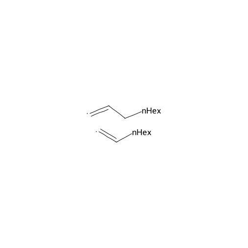 [CH]=CCCCCCC.[CH]=CCCCCCCC